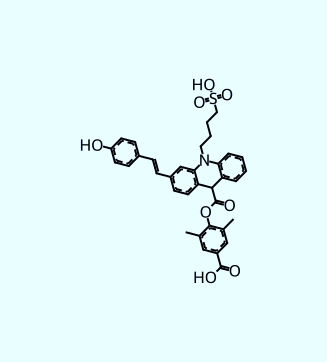 Cc1cc(C(=O)O)cc(C)c1OC(=O)C1c2ccccc2N(CCCCS(=O)(=O)O)c2cc(C=Cc3ccc(O)cc3)ccc21